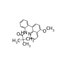 COc1ccc(-c2ccccc2NC(=O)C(C)(C)C)c2ncccc12